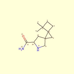 CC1(C)CCC12CC21CNC(C(N)=O)C1